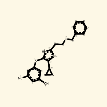 N#Cc1cc(C#N)cc(Sc2[nH]c(CCOCc3ccccc3)nc2C2CC2)c1